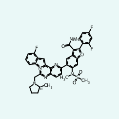 CNC(=O)c1c(-c2ccc(F)cc2F)oc2cc(N(C)S(C)(=O)=O)c(-c3ccc4nc(CN5CCC[C@@H]5C)n5c6cccc(F)c6cc5c4n3)cc12